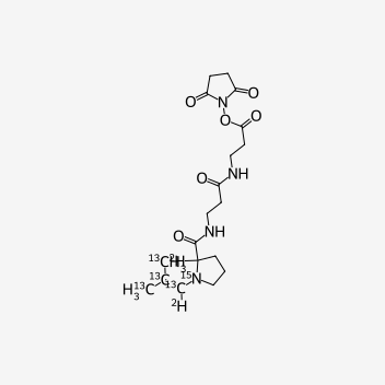 [2H][13CH]([13CH]([13CH3])[13CH3])[15N]1CCCC1([2H])C(=O)NCCC(=O)NCCC(=O)ON1C(=O)CCC1=O